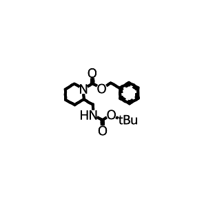 CC(C)(C)OC(=O)NCC1CCCCN1C(=O)OCc1ccccc1